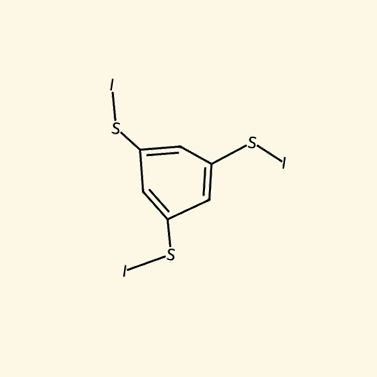 ISc1cc(SI)cc(SI)c1